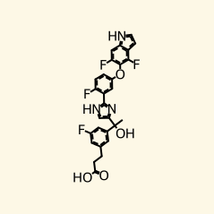 CC(O)(c1cc(F)cc(CCC(=O)O)c1)c1c[nH]c(-c2cc(Oc3c(F)cc4[nH]ccc4c3F)ccc2F)n1